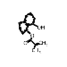 C=C(C)C(=O)Oc1cccc2cccc(O)c12